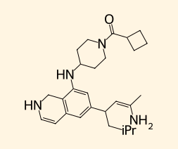 C/C(N)=C/C(CC(C)C)c1cc2c(c(NC3CCN(C(=O)C4CCC4)CC3)c1)CNC=C2